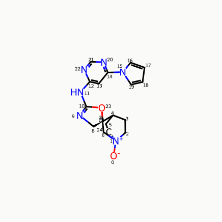 [O-][N+]12CCC(CC1)[C@]1(CN=C(Nc3cc(-n4cccc4)ncn3)O1)C2